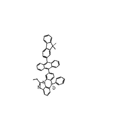 CCc1nc2cccc3c2n1-c1cc(-c2c4ccccc4c(-c4ccc5c(c4)C(C)(C)c4ccccc4-5)c4ccccc24)ccc1P3(=O)c1ccccc1